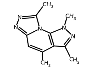 Cc1cc2nnc(C)n2c2c1c(C)nn2C